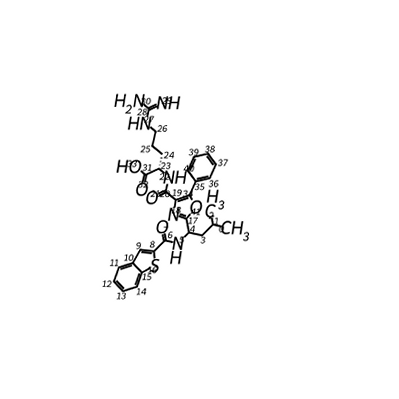 CC(C)CC(NC(=O)c1cc2ccccc2s1)c1nc(C(=O)N[C@@H](CCCNC(=N)N)C(=O)O)c(-c2ccccc2)o1